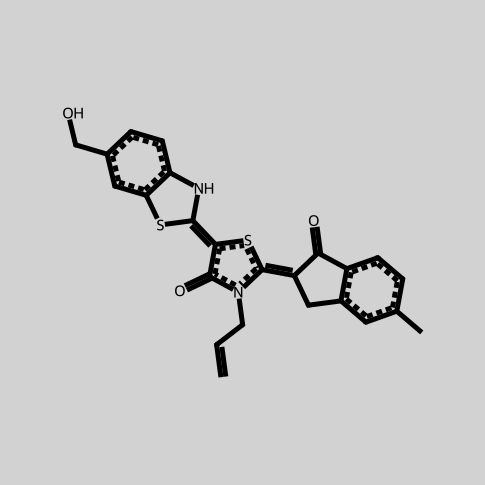 C=CCn1c(=O)/c(=C2/Nc3ccc(CO)cc3S2)s/c1=C1/Cc2cc(C)ccc2C1=O